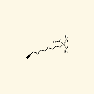 C#CCOCCOCCC[Si](OCC)(OCC)OCC